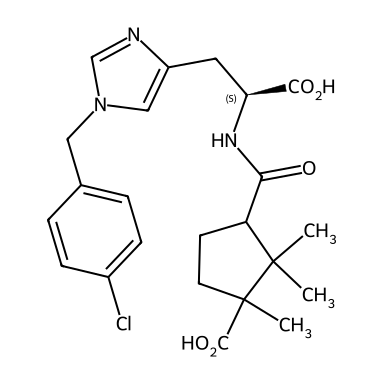 CC1(C(=O)O)CCC(C(=O)N[C@@H](Cc2cn(Cc3ccc(Cl)cc3)cn2)C(=O)O)C1(C)C